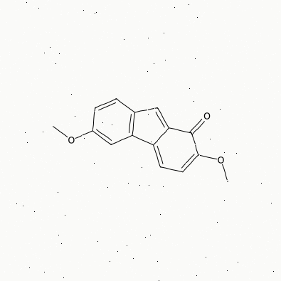 COC1=CC=C2C(=Cc3ccc(OC)cc32)C1=O